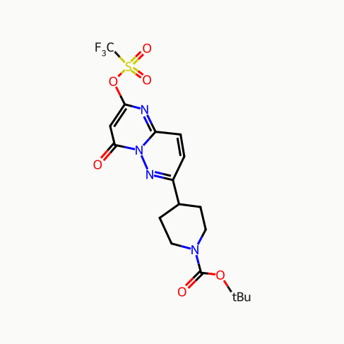 CC(C)(C)OC(=O)N1CCC(c2ccc3nc(OS(=O)(=O)C(F)(F)F)cc(=O)n3n2)CC1